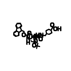 C/C(=N\NC(=O)NCC1CCC(C(=O)O)CC1)[C@H](CC(=O)OC(C)(C)C)NC(=O)OCC1c2ccccc2-c2ccccc21